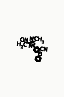 C=C(N=O)c1nc(-c2ccc(Oc3ccccc3)c(C#N)c2)sc1/N=C\C